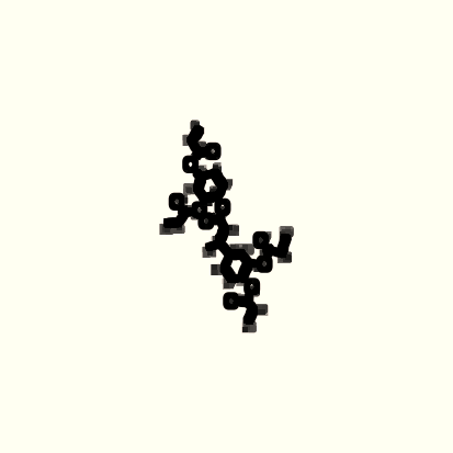 C=CC(=O)Oc1ccc(OC(=O)/C=C(\C)c2ccc(OC(=O)C=C)c(OC(=O)C=C)c2)c(OC(=O)C=C)c1